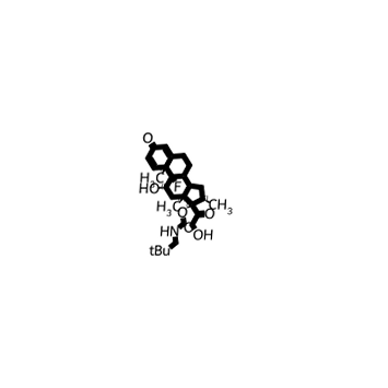 C[C@H]1CC2C3CCC4=CC(=O)C=C[C@]4(C)C3(F)[C@@H](O)C[C@]2(C)[C@]1(OC(=O)NCC(C)(C)C)C(=O)CO